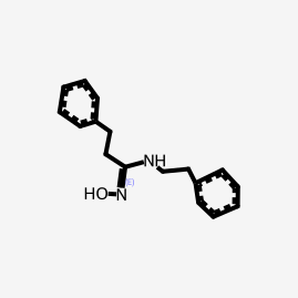 O/N=C(\CCc1ccccc1)NCCc1ccccc1